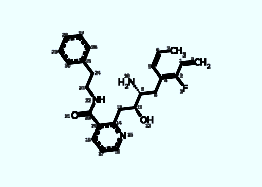 C=C/C(F)=C(\C=C/C)C[C@@H](N)[C@@H](O)Cc1ncccc1C(=O)NCCc1ccccc1